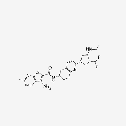 CCNC1CN(c2ccc3c(n2)CCC(NC(=O)c2sc4nc(C)ccc4c2N)C3)CC1C(F)F